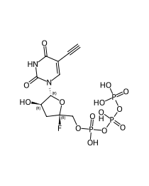 C#Cc1cn([C@@H]2O[C@](F)(COP(=O)(O)OP(=O)(O)OP(=O)(O)O)C[C@H]2O)c(=O)[nH]c1=O